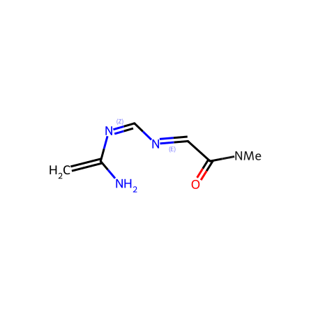 C=C(N)/N=C\N=C\C(=O)NC